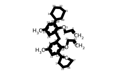 C=CCOc1c(Cc2cc(C)cc(C3CCCCC3)c2OCC=C)cc(C)cc1C1CCCCC1